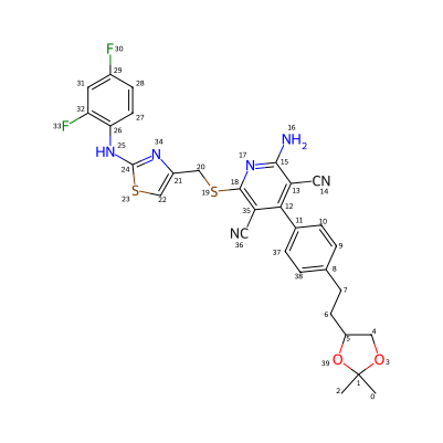 CC1(C)OCC(CCc2ccc(-c3c(C#N)c(N)nc(SCc4csc(Nc5ccc(F)cc5F)n4)c3C#N)cc2)O1